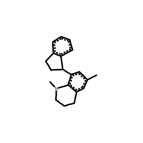 Cc1cc2c(c(C3CCc4ccccc43)c1)N(C)CCC2